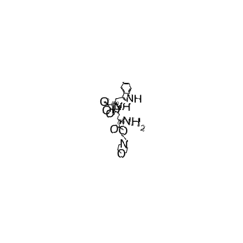 N[C@H](CCC(=O)N[C@H](Cc1c[nH]c2ccccc12)C(=O)O)C(=O)OCCN1CCOCC1